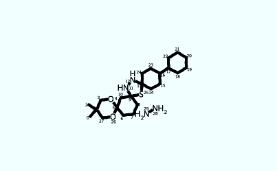 CC1(C)COC2(CCCC3(C2)NNC2(CCC(C4CCCCC4)CC2)S3)OC1.NN